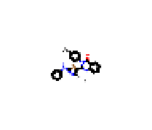 CC(=O)c1ccc(-n2c(-c3sc(Nc4ccccc4)nc3C)nc3ccccc3c2=O)cc1